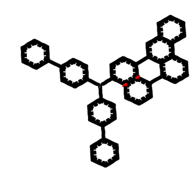 c1ccc(-c2ccc(N(c3ccc(-c4ccccc4)cc3)c3ccc(-c4cc5ccccc5c5cccc(-c6ccccc6)c45)cc3)cc2)cc1